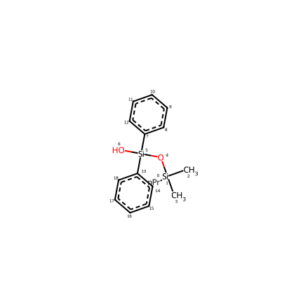 CCC[Si](C)(C)O[Si](O)(c1ccccc1)c1ccccc1